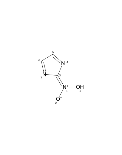 [O-][N+](O)=C1N=CC=N1